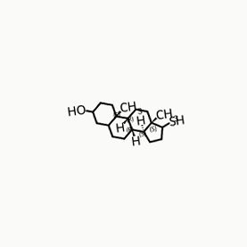 C[C@]12CCC(O)CC1CC[C@@H]1[C@H]2CC[C@]2(C)C(S)CC[C@@H]12